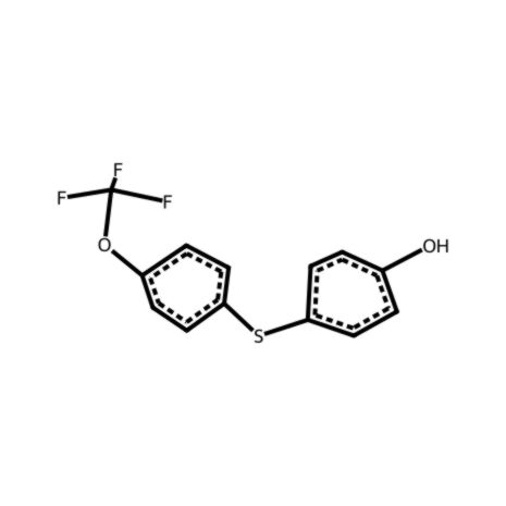 Oc1ccc(Sc2ccc(OC(F)(F)F)cc2)cc1